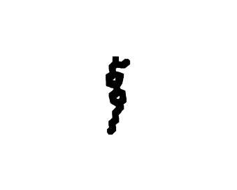 CCCCCCC1CC=C(c2ccc(CC(C)CC)cc2)CC1